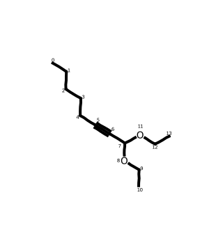 CCCCCC#CC(OCC)OCC